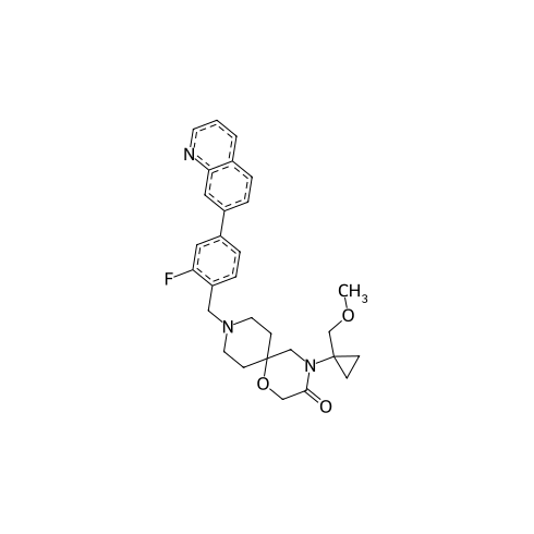 COCC1(N2CC3(CCN(Cc4ccc(-c5ccc6cccnc6c5)cc4F)CC3)OCC2=O)CC1